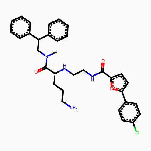 CN(CC(c1ccccc1)c1ccccc1)C(=O)[C@H](CCCN)NCCNC(=O)c1ccc(-c2ccc(Cl)cc2)o1